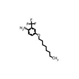 CCCCCCCCOc1ccc(N)c(C(F)(F)F)c1